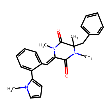 CN1C(=O)C(C)(Cc2ccccc2)N(C)C(=O)C1=Cc1ccccc1-c1cccn1C